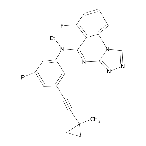 CCN(c1cc(F)cc(C#CC2(C)CC2)c1)c1nc2nncn2c2cccc(F)c12